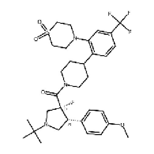 COc1ccc([C@@H]2CN(C(C)(C)C)C[C@@]2(F)C(=O)N2CCC(c3ccc(C(F)(F)F)cc3N3CCS(=O)(=O)CC3)CC2)cc1